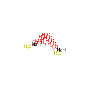 O.O.O.O.O.O.O.O.O.S.S.[NaH].[NaH]